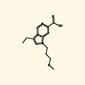 CCc1cn(CCCOC)c2cc(C(=O)O)ncc12